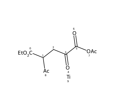 CCOC(=O)C(CC(=O)C(=O)OC(C)=O)C(C)=O.[Ti]